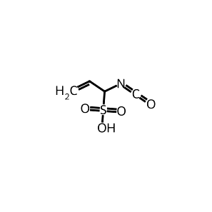 C=CC(N=C=O)S(=O)(=O)O